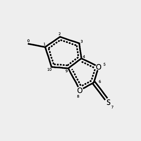 Cc1ccc2oc(=S)oc2c1